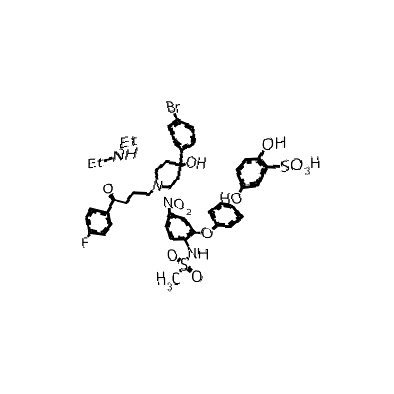 CCNCC.CS(=O)(=O)Nc1ccc([N+](=O)[O-])cc1Oc1ccccc1.O=C(CCCN1CCC(O)(c2ccc(Br)cc2)CC1)c1ccc(F)cc1.O=S(=O)(O)c1cc(O)ccc1O